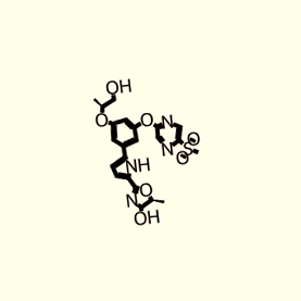 C[C@@H]1OC(c2ccc(-c3cc(Oc4cnc(S(C)(=O)=O)cn4)cc(O[C@@H](C)CO)c3)[nH]2)=NC1O